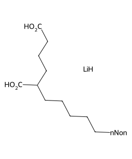 CCCCCCCCCCCCCCC(CCCC(=O)O)C(=O)O.[LiH]